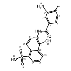 Cc1ccc(C(=O)Nc2ccc3c(S(=O)(=O)O)cccc3c2O)cc1N